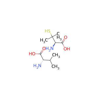 CC(C)(S)[C@H](N)C(=O)O.CC(C)[C@H](N)C(=O)O